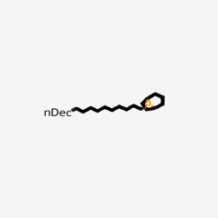 CCCCCCCCCCCCCCCCCCCCP1C2CCCC1CC2